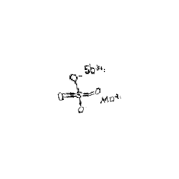 O=S(=O)([O-])[O-].[Mo+4].[Sb+3]